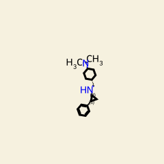 CN(C)[C@H]1CC[C@H](CN[C@@H]2C[C@H]2c2ccccc2)CC1